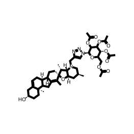 CC(=O)OCC1O[C@@H](n2cc(CN3C[C@@H](C)C[C@H]4O[C@]5(CC[C@@H]6C(=C5C)CC5[C@H]6CC=C6C[C@@H](O)CC[C@@]65C)[C@H](C)[C@@H]43)nn2)C(OC(C)=O)C(OC(C)=O)[C@@H]1OC(C)=O